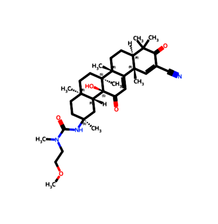 COCCN(C)C(=O)N[C@@]1(C)CC[C@@]2(C)CC[C@@]3(C)[C@]4(C)CC[C@H]5C(C)(C)C(=O)C(C#N)=C[C@]5(C)C4=CC(=O)[C@]3(O)[C@@H]2C1